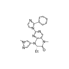 CC[C@H]1C(=O)N(C)c2cnc(-n3ccnc3-c3ccccc3)nc2N1c1cnn(C)c1